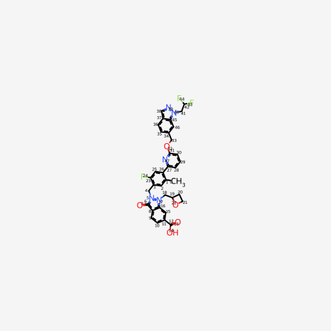 Cc1cc(Cn2c(=O)c3ccc(C(=O)O)cc3n2CC2CCO2)c(F)cc1-c1cccc(OCc2ccc3cnn(CC(F)F)c3c2)n1